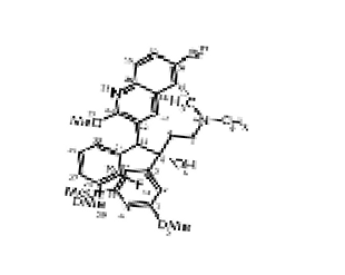 COc1cc([C@](O)(CCN(C)C)[C@H](c2cc3cc(Br)ccc3nc2OC)c2cccc(OC)c2F)cc(OC)n1